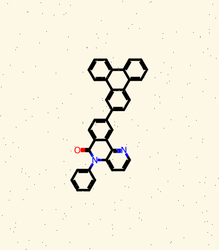 O=c1c2ccc(-c3ccc4c5ccccc5c5ccccc5c4c3)cc2c2ncccc2n1-c1ccccc1